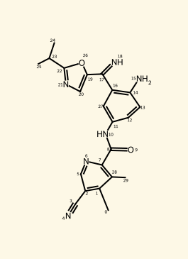 Cc1c(C#N)cnc(C(=O)Nc2ccc(N)c(C(=N)c3cnc(C(C)C)o3)c2)c1C